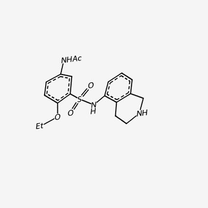 CCOc1ccc(NC(C)=O)cc1S(=O)(=O)Nc1cccc2c1CCNC2